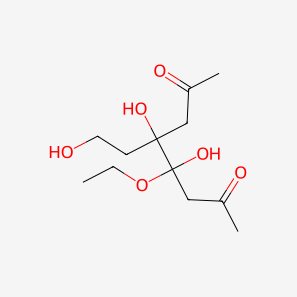 CCOC(O)(CC(C)=O)C(O)(CCO)CC(C)=O